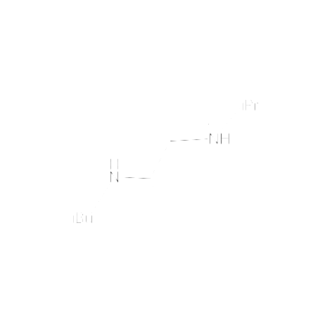 CCC(C)NCCNC(C)C